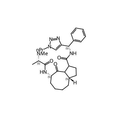 CCCn1cc([C@@H](NC(=O)C2CC[C@@H]3CCCC[C@H](NC(=O)[C@H](C)NC)C(=O)C23)c2ccccc2)nn1